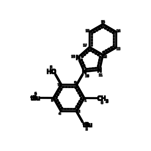 Cc1c(C(C)(C)C)cc(C(C)(C)C)c(O)c1-n1nc2ccccc2n1